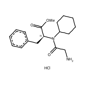 COC(=O)[C@H](Cc1ccccc1)N(C(=O)CN)C1CCCCC1.Cl